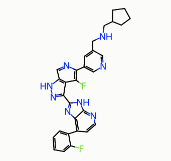 Fc1ccccc1-c1ccnc2[nH]c(-c3n[nH]c4cnc(-c5cncc(CNCC6CCCC6)c5)c(F)c34)nc12